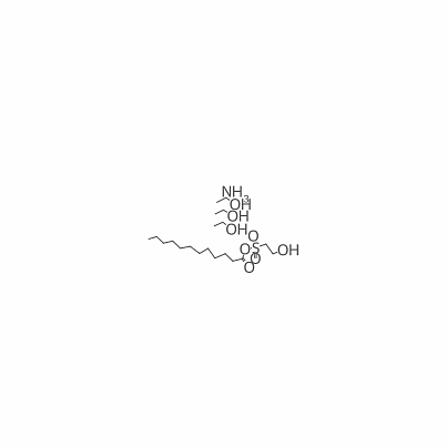 CCCCCCCCCCCC(=O)OS(=O)(=O)CCO.CCO.CCO.CCO.N